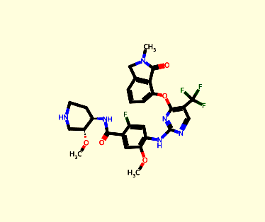 COc1cc(C(=O)N[C@@H]2CCNC[C@H]2OC)c(F)cc1Nc1ncc(C(F)(F)F)c(Oc2cccc3c2C(=O)N(C)C3)n1